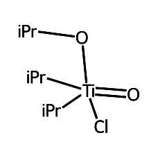 CC(C)[O][Ti](=[O])([Cl])([CH](C)C)[CH](C)C